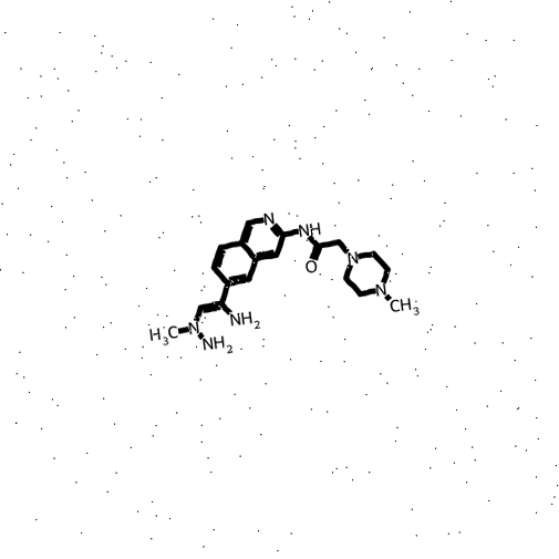 CN(N)/C=C(\N)c1ccc2cnc(NC(=O)CN3CCN(C)CC3)cc2c1